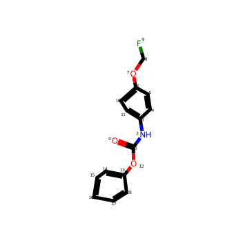 O=C(Nc1ccc(OCF)cc1)Oc1ccccc1